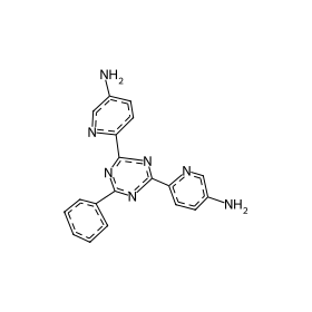 Nc1ccc(-c2nc(-c3ccccc3)nc(-c3ccc(N)cn3)n2)nc1